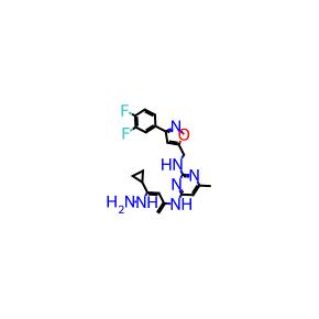 C=C(/C=C(\NN)C1CC1)Nc1cc(C)nc(NCc2cc(-c3ccc(F)c(F)c3)no2)n1